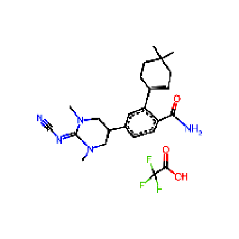 CN1CC(c2ccc(C(N)=O)c(C3=CCC(C)(C)CC3)c2)CN(C)C1=NC#N.O=C(O)C(F)(F)F